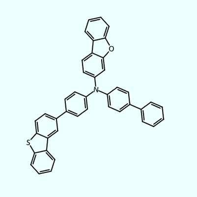 c1ccc(-c2ccc(N(c3ccc(-c4ccc5sc6ccccc6c5c4)cc3)c3ccc4c(c3)oc3ccccc34)cc2)cc1